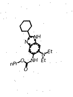 CCCOC(=O)Nc1cc2nc(C3CCCCC3)[nH]c2cc1N(CC)CC